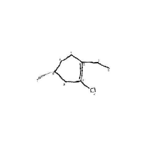 CCC1=C(Cl)C[C@H](C)CC1